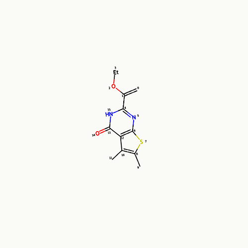 C=C(OCC)c1nc2sc(C)c(C)c2c(=O)[nH]1